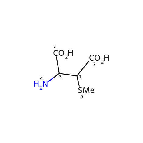 CSC(C(=O)O)C(N)C(=O)O